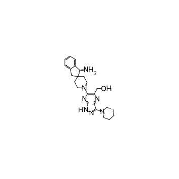 N[C@@H]1c2ccccc2CC12CCN(c1nc3[nH]nc(N4CCCCC4)c3nc1CO)CC2